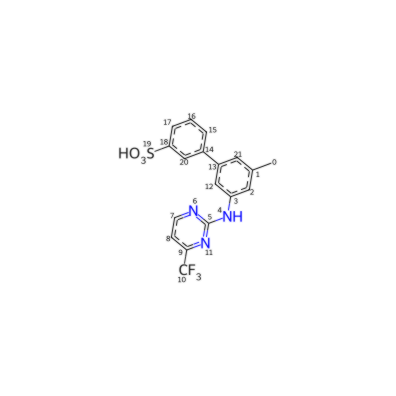 Cc1cc(Nc2nccc(C(F)(F)F)n2)cc(-c2cccc(S(=O)(=O)O)c2)c1